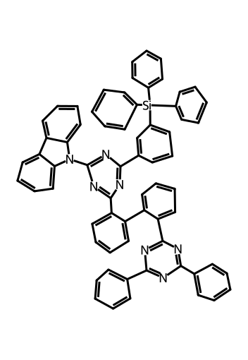 c1ccc(-c2nc(-c3ccccc3)nc(-c3ccccc3-c3ccccc3-c3nc(-c4cccc([Si](c5ccccc5)(c5ccccc5)c5ccccc5)c4)nc(-n4c5ccccc5c5ccccc54)n3)n2)cc1